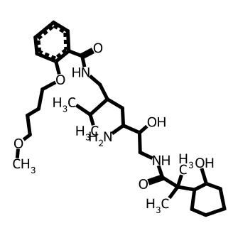 COCCCCOc1ccccc1C(=O)NCC(CC(N)C(O)CNC(=O)C(C)(C)C1CCCCC1O)C(C)C